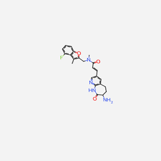 Cc1c(CN(C)C(=O)/C=C/c2cnc3c(c2)CCC(N)C(=O)N3)oc2cccc(F)c12